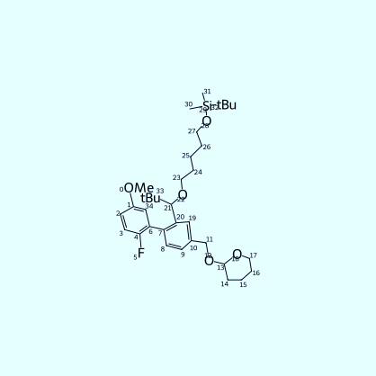 COc1ccc(F)c(-c2ccc(COC3CCCCO3)cc2C(OCCCCCO[Si](C)(C)C(C)(C)C)C(C)(C)C)c1